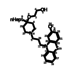 CCCCCCCC1(OCCO)CCN(CCCN2c3ccccc3Sc3ccc(C(F)(F)F)cc32)CC1